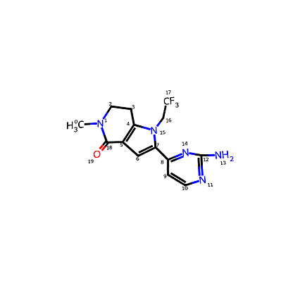 CN1CCc2c(cc(-c3ccnc(N)n3)n2CC(F)(F)F)C1=O